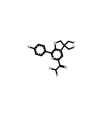 O=C(c1cc2c(c(-c3ccc(F)cc3)n1)OCC2(CF)CF)C(F)F